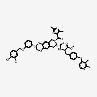 COC(=O)C(Cc1ccc(Oc2ccnc(C)c2C)cc1)NC(=O)[C@@H]1Cc2cc3c(cc2CN1C(=O)c1nc(C)oc1C)O[C@@H](c1cccc(OCc2ccc(Cl)c(Cl)c2)c1)CO3